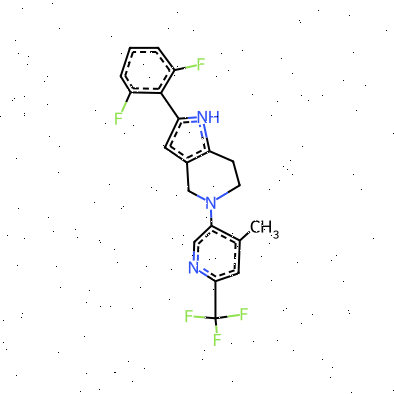 Cc1cc(C(F)(F)F)ncc1N1CCc2[nH]c(-c3c(F)cccc3F)cc2C1